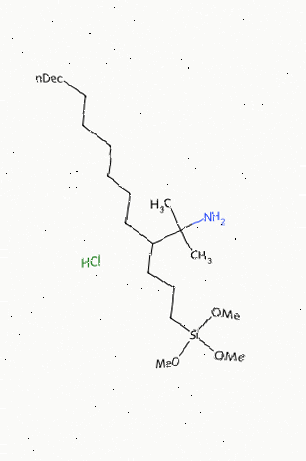 CCCCCCCCCCCCCCCCC(CCC[Si](OC)(OC)OC)C(C)(C)N.Cl